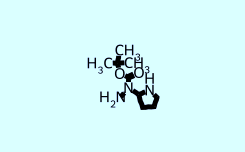 CC(C)(C)OC(=O)N(N)C1CCCN1